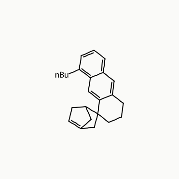 CCCCc1cccc2cc3c(cc12)C1(CCC3)CC2=CCC1C2